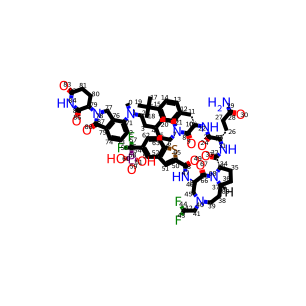 CN(CCC1CCN(C(=O)[C@H](Cc2ccc(C(C)(C)C)cc2)NC(=O)[C@H](CCC(N)=O)NC(=O)[C@@H]2CC[C@@H]3CCN(CC(F)F)C[C@H](NC(=O)c4cc5cc(C(F)(F)P(=O)(O)O)ccc5s4)C(=O)N32)CC1)c1cccc2c1CN(C1CCC(=O)NC1=O)C2=O